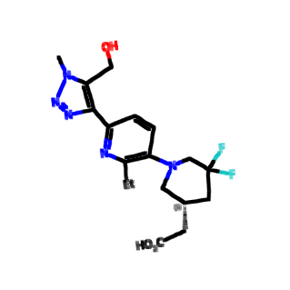 CCc1nc(-c2nnn(C)c2CO)ccc1N1C[C@@H](CC(=O)O)CC(F)(F)C1